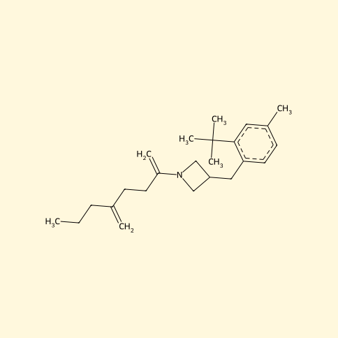 C=C(CCC)CCC(=C)N1CC(Cc2ccc(C)cc2C(C)(C)C)C1